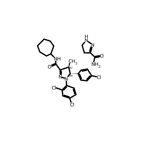 C[C@@H]1C(C(=O)NC2CCCCCC2)=NN(c2ccc(Cl)cc2Cl)[C@H]1c1ccc(Cl)cc1.NC(=O)C1=NNCC1